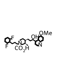 COc1ccc2nccc([C@@H](O)CC[C@@H]3CCN(CCCc4c(F)cccc4F)C[C@@H]3CC(=O)O)c2c1